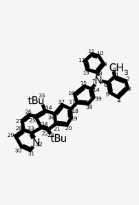 Cc1ccccc1N(c1ccccc1)c1ccc(-c2ccc3c(C(C)(C)C)c4c(ccc5cccnc54)c(C(C)(C)C)c3c2)cc1